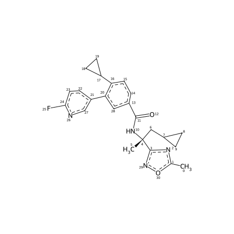 Cc1nc([C@@](C)(CC2CC2)NC(=O)c2ccc(C3CC3)c(-c3ccc(F)nc3)c2)no1